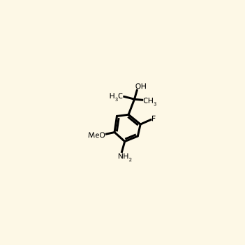 COc1cc(C(C)(C)O)c(F)cc1N